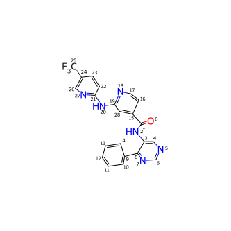 O=C(Nc1cncnc1-c1ccccc1)c1ccnc(Nc2ccc(C(F)(F)F)cn2)c1